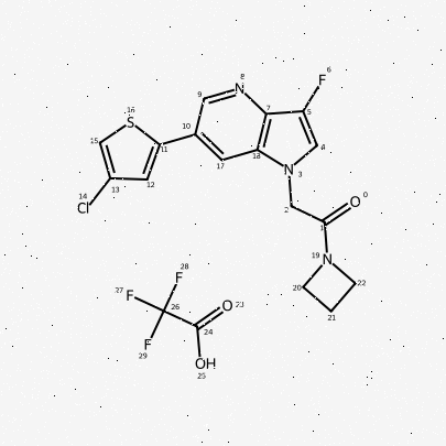 O=C(Cn1cc(F)c2ncc(-c3cc(Cl)cs3)cc21)N1CCC1.O=C(O)C(F)(F)F